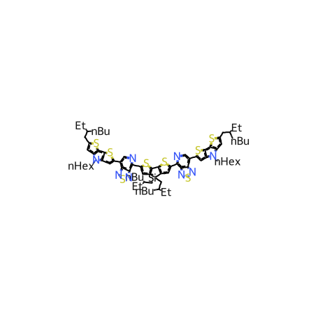 CCCCCCn1c2cc(CC(CC)CCCC)sc2c2sc(-c3cnc(-c4cc5c(s4)-c4sc(-c6ncc(-c7cc8c(s7)c7sc(CC(CC)CCCC)cc7n8CCCCCC)c7nsnc67)cc4[Si]5(CC(CC)CCCC)CC(CC)CCCC)c4nsnc34)cc21